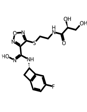 O=C(NCCSc1nonc1/C(=N\O)N[C@H]1Cc2ccc(F)cc21)[C@@H](O)CO